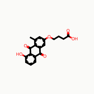 Cc1cc(OCCCC(=O)O)cc2c1C(=O)c1c(O)cccc1C2=O